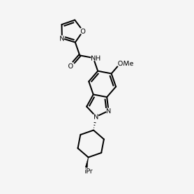 COc1cc2nn([C@H]3CC[C@H](C(C)C)CC3)cc2cc1NC(=O)c1ncco1